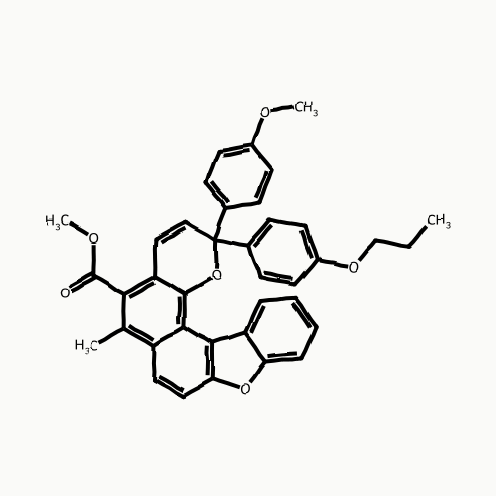 CCCOc1ccc(C2(c3ccc(OC)cc3)C=Cc3c(C(=O)OC)c(C)c4ccc5oc6ccccc6c5c4c3O2)cc1